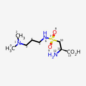 CN(C)CCCNS(=O)(=O)C[C@H](N)C(=O)O